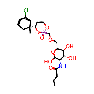 CCCC(=O)N[C@H]1C(O)O[C@H](COCP2(=O)OCC[C@@H](C3(C)C=C(Cl)C=CC3)O2)[C@@H](O)[C@@H]1O